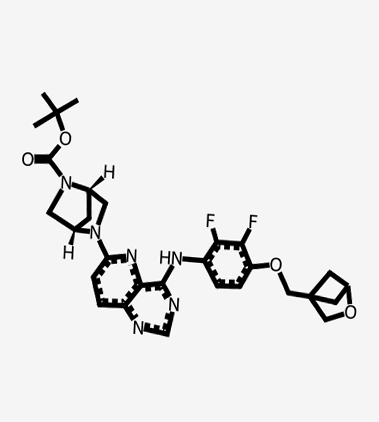 CC(C)(C)OC(=O)N1C[C@@H]2C[C@H]1CN2c1ccc2ncnc(Nc3ccc(OCC45COC(C4)C5)c(F)c3F)c2n1